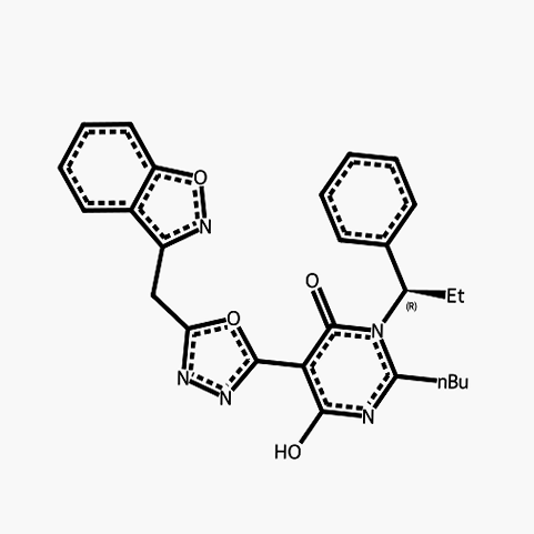 CCCCc1nc(O)c(-c2nnc(Cc3noc4ccccc34)o2)c(=O)n1[C@H](CC)c1ccccc1